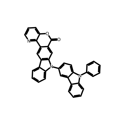 O=c1oc2cccnc2c2cc3c4ccccc4n(-c4ccc5c(c4)c4ccccc4n5-c4ccccc4)c3cc12